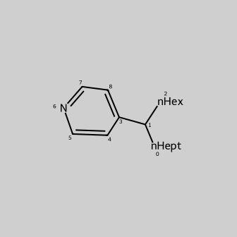 CCCCCCCC(CCCCCC)c1ccncc1